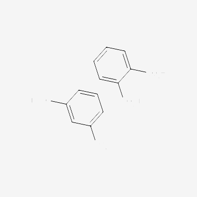 O=C(O)c1cccc(C(=O)O)c1.O=C(O)c1ccccc1C(=O)O